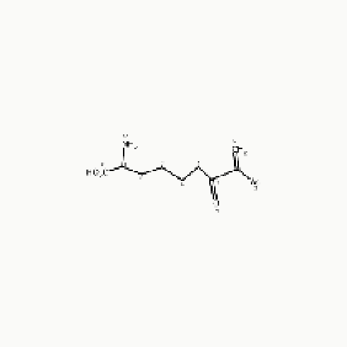 C=C(C(C)=O)C(=O)CCCCC(N)C(=O)O